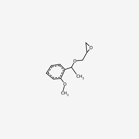 COc1ccccc1C(C)OCC1CO1